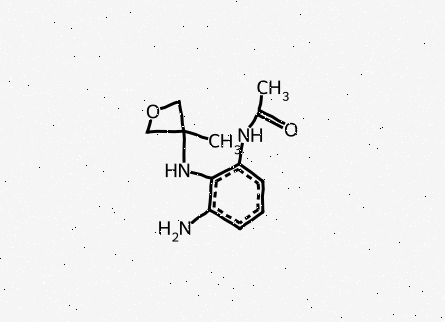 CC(=O)Nc1cccc(N)c1NC1(C)COC1